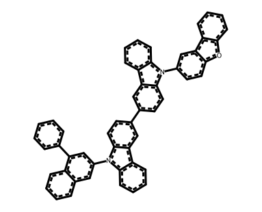 c1ccc(-c2cc(-n3c4ccccc4c4cc(-c5ccc6c(c5)c5ccccc5n6-c5ccc6oc7ccccc7c6c5)ccc43)cc3ccccc23)cc1